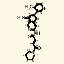 Cc1ccncc1-c1cc(N)c2cnc(NC(=O)/C=C/C(=O)N3CCCCC3)cc2c1